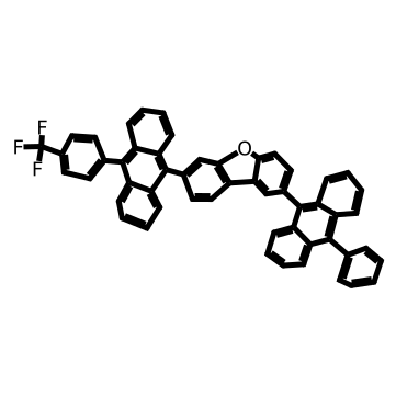 FC(F)(F)c1ccc(-c2c3ccccc3c(-c3ccc4c(c3)oc3ccc(-c5c6ccccc6c(-c6ccccc6)c6ccccc56)cc34)c3ccccc23)cc1